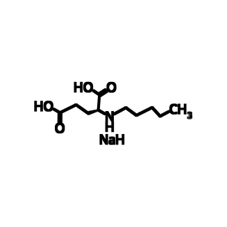 CCCCCN[C@@H](CCC(=O)O)C(=O)O.[NaH]